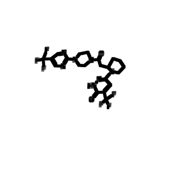 O=C(CC1CCCCN1c1cc(C(F)(F)F)c(=O)[nH]n1)N1CCN(c2ncc(C(F)(F)F)cn2)CC1